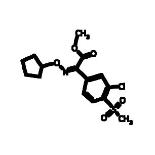 COC(=O)C(=NOC1CCCC1)c1ccc(S(C)(=O)=O)c(Cl)c1